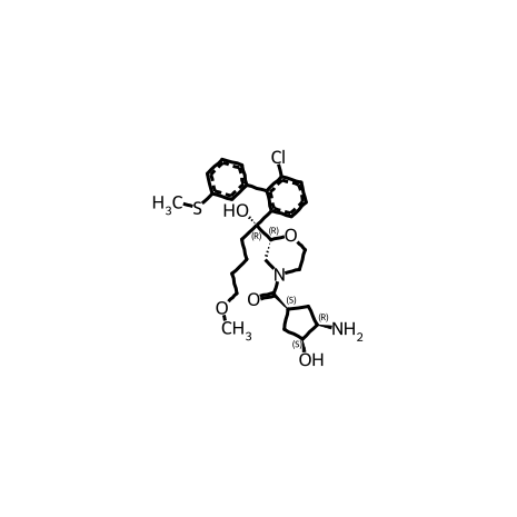 COCCCC[C@@](O)(c1cccc(Cl)c1-c1cccc(SC)c1)[C@H]1CN(C(=O)[C@H]2C[C@@H](N)[C@@H](O)C2)CCO1